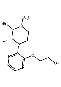 C[C@@H]1C(C(C)(C)C)N(C(=O)O)CCN1c1nccnc1OCCO